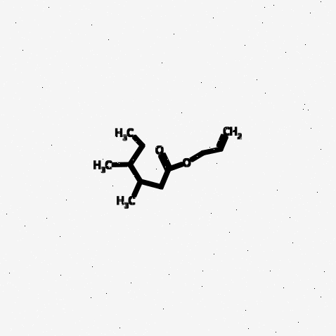 C=CCOC(=O)CC(C)C(C)CC